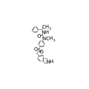 CC(NC(=O)N(C)c1ccc(S(=O)(=O)Cc2ccc3c(c2)CNC3)cc1)c1ccccc1